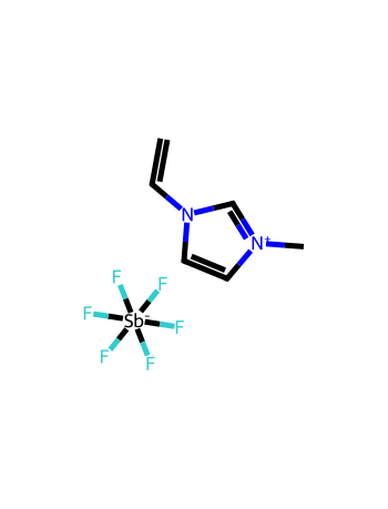 C=Cn1cc[n+](C)c1.[F][Sb-]([F])([F])([F])([F])[F]